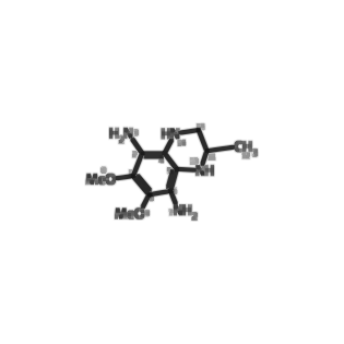 COc1c(N)c2c(c(N)c1OC)NC(C)CN2